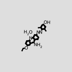 CCOc1ccc2nc3cc(N=Nc4c(C)cc(O)cc4C)ccc3c(N)c2c1.O